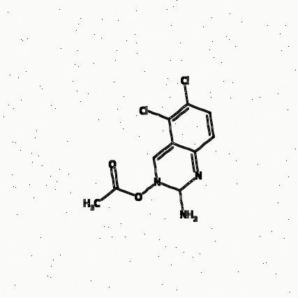 CC(=O)ON1C=c2c(Cl)c(Cl)ccc2=NC1N